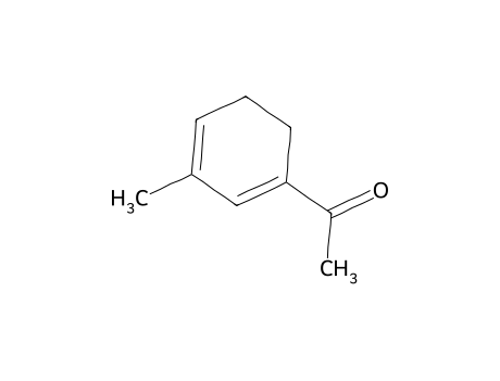 CC(=O)C1=CC(C)=CCC1